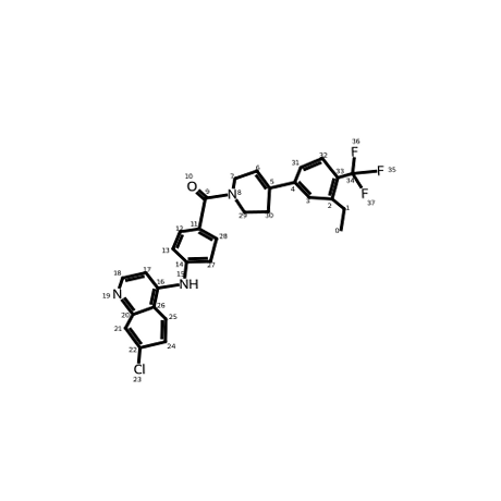 CCc1cc(C2=CCN(C(=O)c3ccc(Nc4ccnc5cc(Cl)ccc45)cc3)CC2)ccc1C(F)(F)F